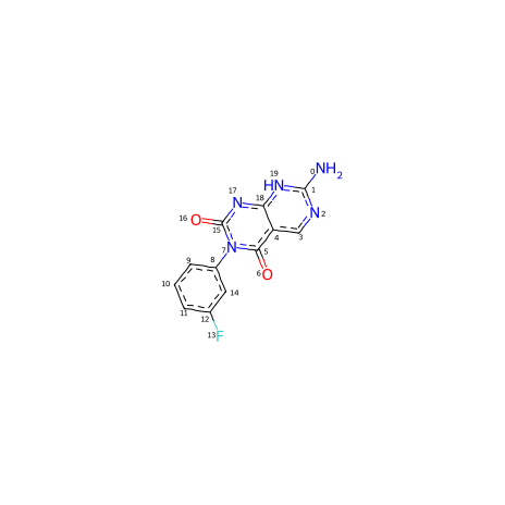 Nc1ncc2c(=O)n(-c3cccc(F)c3)c(=O)nc-2[nH]1